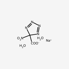 O.O.O=C([O-])C1([N+](=O)[O-])N=NN=N1.[Na+]